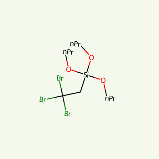 CCCO[Si](CC(Br)(Br)Br)(OCCC)OCCC